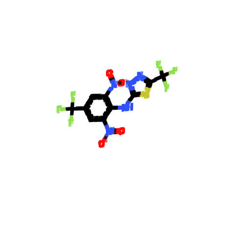 O=[N+]([O-])c1cc(C(F)(F)F)cc([N+](=O)[O-])c1Nc1nnc(C(F)(F)F)s1